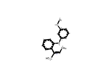 CO/C=C(/C(=O)O)c1ccccc1Oc1cccc(OC(C)C)c1